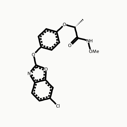 CONC(=O)[C@@H](C)Oc1ccc(Oc2nc3ccc(Cl)cc3o2)cc1